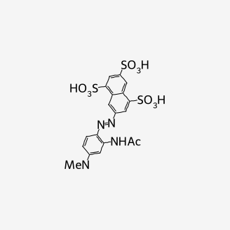 CNc1ccc(N=Nc2cc(S(=O)(=O)O)c3cc(S(=O)(=O)O)cc(S(=O)(=O)O)c3c2)c(NC(C)=O)c1